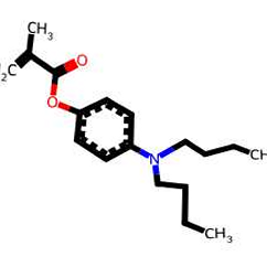 C=C(C)C(=O)Oc1ccc(N(CCCC)CCCC)cc1